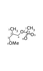 COCC(C)COS(C)(=O)=O